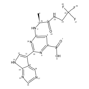 C[C@H](Nc1cc(C(=O)O)nc(-c2c[nH]c3ncncc23)n1)C(=O)NCC(F)(F)F